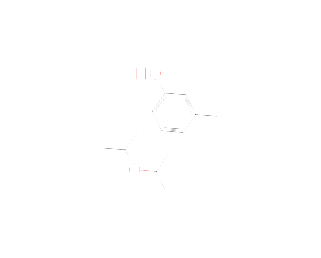 CC(C)OC(C)C.Cc1cccc(O)c1